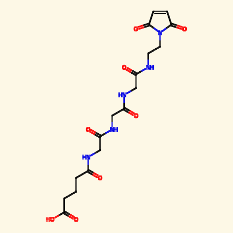 O=C(O)CCCC(=O)NCC(=O)NCC(=O)NCC(=O)NCCN1C(=O)C=CC1=O